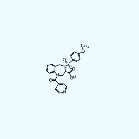 COc1ccc(S(=O)(=O)N2Cc3ccccc3N(C(=O)c3ccncc3)CC2C(=O)O)cc1